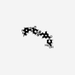 Cc1cc(C(=O)N2CCC(O)(CO)CC2)cc(C)c1C=CS(=O)(=O)N1CCC2(CC1)N=C(c1ccc(F)c(C(F)(F)F)c1)NC2=O